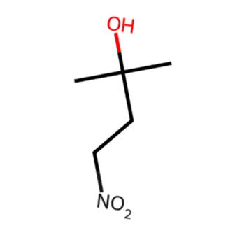 CC(C)(O)CC[N+](=O)[O-]